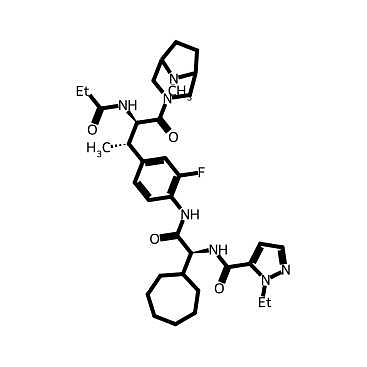 CCC(=O)N[C@@H](C(=O)N1CC2CCC(C1)N2C)[C@@H](C)c1ccc(NC(=O)[C@@H](NC(=O)c2ccnn2CC)C2CCCCCC2)c(F)c1